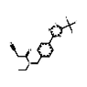 CCN(Cc1ccc(-c2noc(C(F)(F)F)n2)cc1)C(=O)CC#N